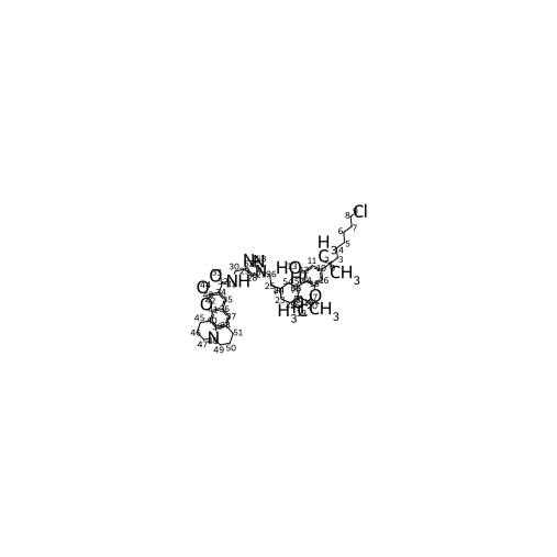 CC(C)(CCCCCCCl)c1cc(O)c2c(c1)OC(C)(C)[C@@H]1CC[C@@H](CCn3cc(CNC(=O)c4cc5cc6c7c(c5oc4=O)CCCN7CCC6)nn3)C[C@@H]21